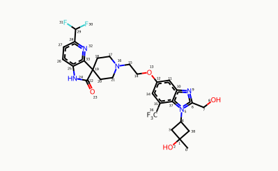 CC1(O)CC(n2c(CO)nc3cc(OCCN4CCC5(CC4)C(=O)Nc4ccc(C(F)F)nc45)cc(C(F)(F)F)c32)C1